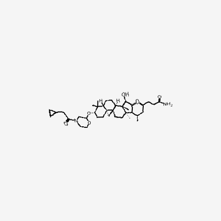 C[C@@H]1CC(CCC(N)=O)OC2C1[C@@]1(C)CC[C@@]34C[C@@]35CC[C@H](OC3CN(C(=O)CC6CC6)CCO3)C(C)(C)[C@@H]5CC[C@H]4[C@]1(C)[C@H]2O